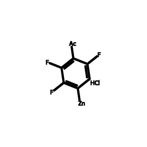 CC(=O)c1c(F)c[c]([Zn])c(F)c1F.Cl